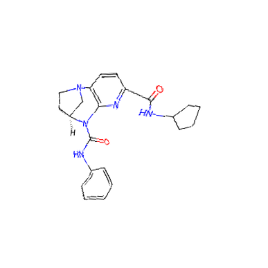 O=C(NC1CCCC1)c1ccc2c(n1)N(C(=O)Nc1ccccc1)[C@H]1CCN2C1